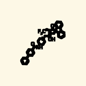 O=C(NC1CCN(CC(O)CCC2(C(=O)NCC(F)(F)F)c3ccccc3-c3ccccc32)CC1)c1ccc(-c2ccccc2)cc1